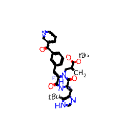 C=C(Cn1c(=O)/c(=C/c2nc[nH]c2C(C)(C)C)[nH]c(=O)/c1=C/c1cccc(C(=O)c2cccnc2)c1)C(=O)OC(C)(C)C